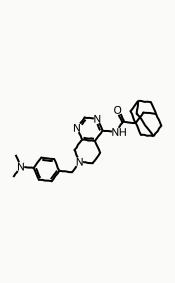 CN(C)c1ccc(CN2CCc3c(ncnc3NC(=O)C34CC5CC(CC(C5)C3)C4)C2)cc1